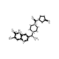 CCc1cc2ncc([C@H](C)N3CCN(C(=O)[C@H]4CCC(=O)C4)CC3)cc2[nH]c1=O